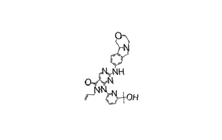 C=CCn1c(=O)c2cnc(Nc3ccc4c(c3)CN3CCOCC43)nc2n1-c1cccc(C(C)(C)O)n1